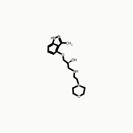 Cc1n[nH]c2cccc(OC[C@@H](O)CNCCN3CCOCC3)c12